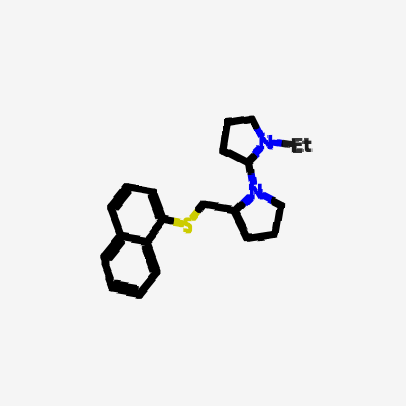 CCN1CCCC1N1CCCC1CSc1cccc2ccccc12